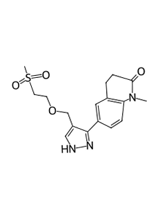 CN1C(=O)CCc2cc(-c3n[nH]cc3COCCS(C)(=O)=O)ccc21